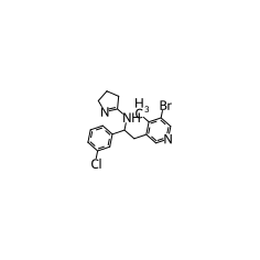 Cc1c(Br)cncc1CC(NC1=NCCC1)c1cccc(Cl)c1